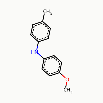 COc1ccc(Nc2ccc(C)cc2)cc1